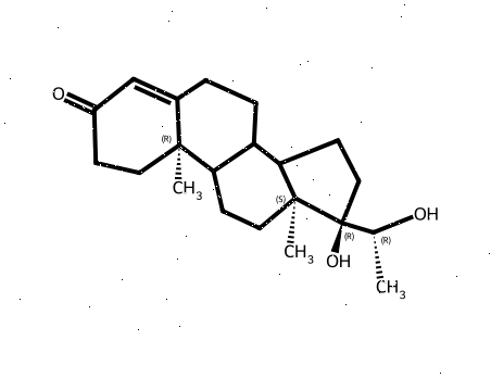 C[C@@H](O)[C@@]1(O)CCC2C3CCC4=CC(=O)CC[C@]4(C)C3CC[C@@]21C